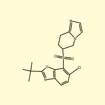 CC(C)(C)c1nc2ccc(Cl)c(S(=O)(=O)C3CCc4nccn4C3)c2o1